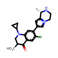 C[C@@H]1NCCn2cc(-c3cc4c(cc3F)C(=O)C(C(=O)O)CN4C3CC3)cc21